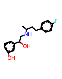 CC(CCc1ccc(F)cc1)NCC(O)c1cccc(O)c1